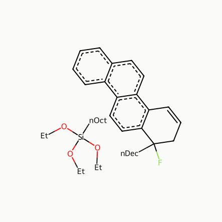 CCCCCCCCCCC1(F)CC=Cc2c1ccc1c2ccc2ccccc21.CCCCCCCC[Si](OCC)(OCC)OCC